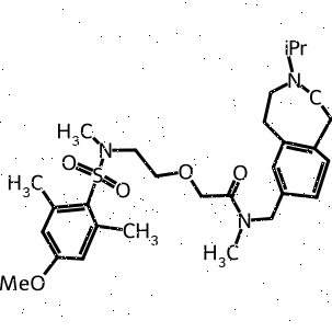 COc1cc(C)c(S(=O)(=O)N(C)CCOCC(=O)N(C)Cc2ccc3c(c2)CCN(C(C)C)CC3)c(C)c1